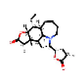 CC[C@@H]1[C@H]2CCCCN3[C@H]2[C@H](C[C@H]3[C@@H]2C[C@H](C)C(=O)O2)[C@H]2[C@@H]1OC(=O)[C@H]2C